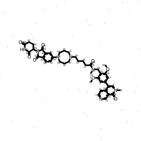 COc1cc(-c2cn(C)c(=O)c3cnccc23)cc(OC)c1CN(C)C(=O)CCCCN1CCCN(c2ccc3c(c2)C(=O)N(C2CCC(=O)NC2=O)C3=O)CCC1